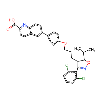 CC(C)C1ON=C(c2c(Cl)cccc2Cl)C1CCCOc1ccc(-c2ccc3nc(C(=O)O)ccc3c2)cc1